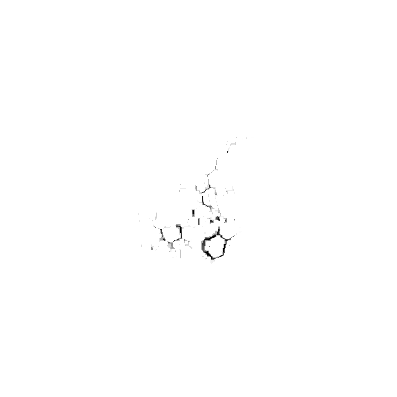 CCCCCCCCCCCCCC[C@@H](O)[C@@H](O)[C@H](CO[C@H]1OC(CO)[C@H](O)[C@H](O)C1O)NS(=O)(=O)c1ccccc1C